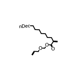 C=CCOCOC(=O)C(=C)CCCCCCCCCCCCCCCCC